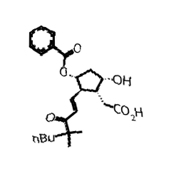 CCCCC(C)(C)C(=O)C=C[C@@H]1[C@@H](CC(=O)O)[C@@H](O)C[C@H]1OC(=O)c1ccccc1